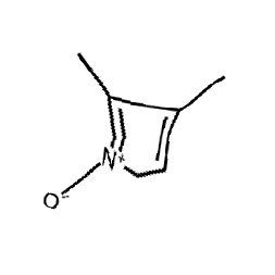 CC1=C[N+]([O-])=C1C